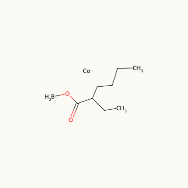 BOC(=O)C(CC)CCCC.[Co]